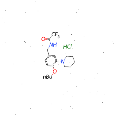 CCCCOc1ccc(CNC(=O)C(F)(F)F)cc1N1CCCCC1.Cl